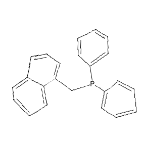 c1ccc(P(Cc2cccc3ccccc23)c2ccccc2)cc1